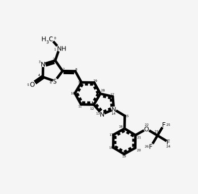 CNC1=NC(=O)S/C1=C\c1ccc2nn(Cc3ccccc3OC(F)(F)F)cc2c1